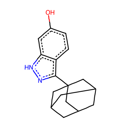 Oc1ccc2c(C34CC5CC(CC(C5)C3)C4)n[nH]c2c1